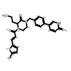 CCCC1C(=O)N(Cc2ccc(-c3ccc(=O)[nH]c3)cc2)CCN1C(=O)/C=C/c1ccc(Cl)s1